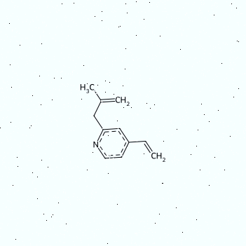 C=Cc1ccnc(CC(=C)C)c1